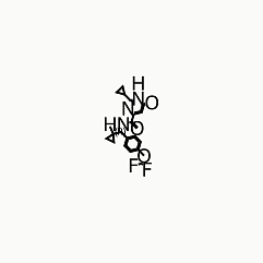 CC1([C@@H](NC(=O)c2cc(=O)[nH]c(C3CC3)n2)c2ccc(OC(F)F)cc2)CC1